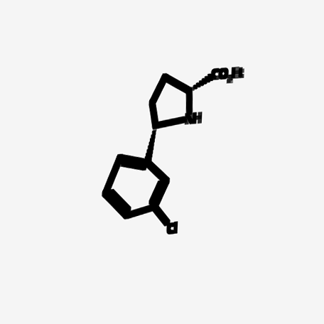 CCOC(=O)[C@H]1CC[C@@H](c2cccc(Cl)c2)N1